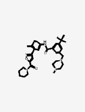 Cc1ccc(NC(=O)c2cc(CN3CCN(C)CC3)cc(C(C)(C)C)c2)cc1-c1cc(C(=O)N2CCCCC2)on1